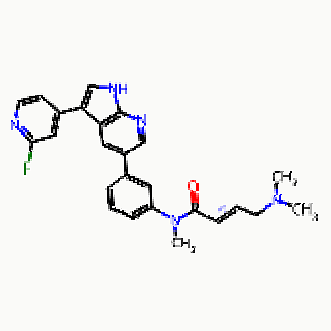 CN(C)C/C=C/C(=O)N(C)c1cccc(-c2cnc3[nH]cc(-c4ccnc(F)c4)c3c2)c1